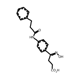 O=C(O)CCC(=NO)c1ccc(NC(=O)CCc2ccccc2)cc1